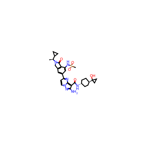 C[C@@H](C1CC1)N1Cc2cc(-c3ccn4nc(N)c(C(=O)N[C@H]5CC[C@H](C6(O)CC6)CC5)c4n3)cc(NS(C)(=O)=O)c2C1=O